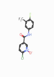 O=C(Nc1ccc(F)c(C(F)(F)F)c1)c1ccc(Cl)[n+]([O-])c1